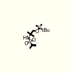 C=C(C)S(=O)(=O)NC(C)(C)CO[Si](C)(C)C(C)(C)C